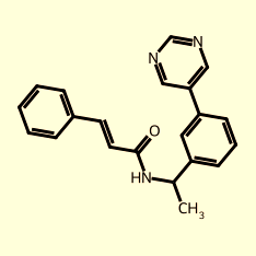 CC(NC(=O)C=Cc1ccccc1)c1cccc(-c2cncnc2)c1